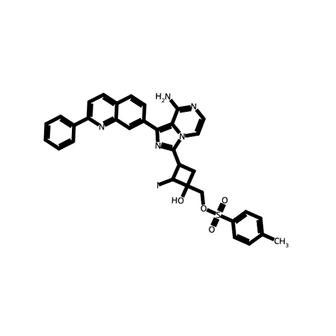 Cc1ccc(S(=O)(=O)OCC2(O)CC(c3nc(-c4ccc5ccc(-c6ccccc6)nc5c4)c4c(N)nccn34)C2I)cc1